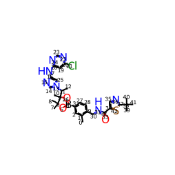 Cc1cc(B2OC(C)(C)C(C)(C(C)n3cnc(Nc4cc(Cl)ncn4)c3)O2)ccc1CNC(=O)c1cnc(C(C)(C)C)s1